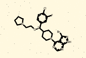 Fc1cc([C@H](OCCN2CCCC2)C2CCN(c3ncnc4[nH]nc(Br)c34)CC2)ccc1Cl